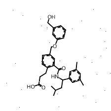 Cc1cc(C)cc(C(CC(C)C)NC(=O)c2cc(COc3cccc(CO)c3)ccc2CCC(=O)O)c1